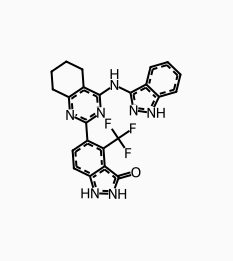 O=c1[nH][nH]c2ccc(-c3nc4c(c(Nc5n[nH]c6ccccc56)n3)CCCC4)c(C(F)(F)F)c12